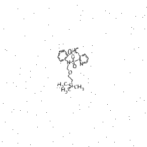 C[Si](C)(C)CCOCN(c1ccccc1)S(=O)(=O)c1ncccc1C=O